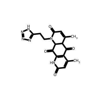 CC1=CC(=O)N(CCc2nnn[nH]2)C2C(=O)c3[nH]c(=O)cc(C)c3C(=O)C12